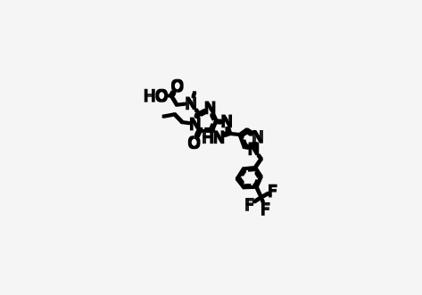 CCCn1c(N(C)CC(=O)O)nc2nc(-c3cnn(Cc4cccc(C(F)(F)F)c4)c3)[nH]c2c1=O